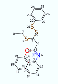 CCSC(C/C(=N/c1ccccc1)Oc1ccccc1)SSc1ccccc1